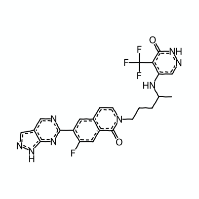 CC(CCCn1ccc2cc(-c3ncc4cn[nH]c4n3)c(F)cc2c1=O)Nc1cn[nH]c(=O)c1C(F)(F)F